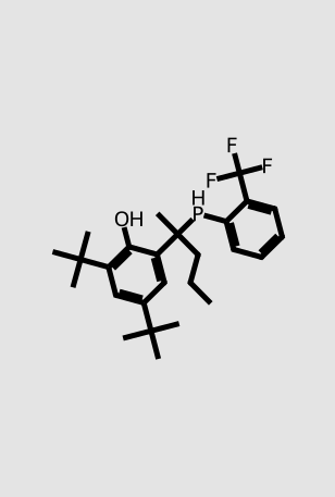 CCCC(C)(Pc1ccccc1C(F)(F)F)c1cc(C(C)(C)C)cc(C(C)(C)C)c1O